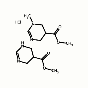 COC(=O)C1CN=CN(C)C1.COC(=O)C1CN=CNC1.Cl